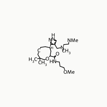 CNCCN(C)Cc1c[nH]nc1[C@@H]1CCCCC(C)(C)COC(C(=O)NCCCOC)C1